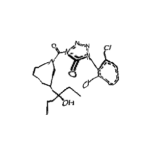 CCC(O)(CC)C1CCCN(C(=O)n2nnn(-c3c(Cl)cccc3Cl)c2=O)C1